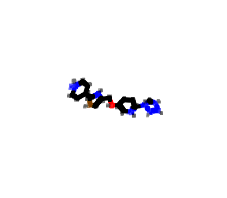 c1cc(-n2cnnn2)ncc1OCc1csc(C2CCNCC2)n1